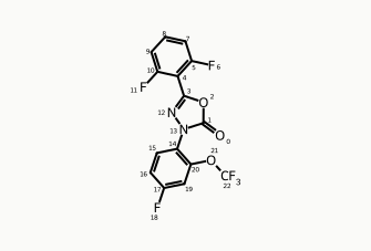 O=c1oc(-c2c(F)cccc2F)nn1-c1ccc(F)cc1OC(F)(F)F